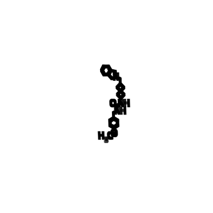 COc1ccc(CNC(=O)NC2CC3(CC(CN4Cc5ccccc5C4)C3)C2)cc1